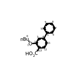 CCCCOc1cc(-c2ccccc2)ccc1C(=O)O